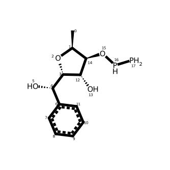 C[C@@H]1O[C@@H]([C@@H](O)c2ccccc2)[C@@H](O)[C@@H]1OPP